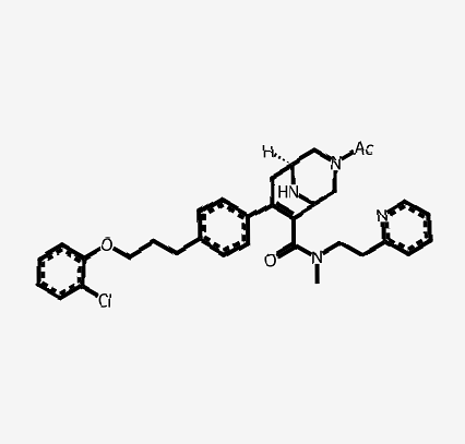 CC(=O)N1CC2N[C@@H](CC(c3ccc(CCCOc4ccccc4Cl)cc3)=C2C(=O)N(C)CCc2ccccn2)C1